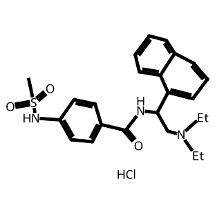 CCN(CC)CC(NC(=O)c1ccc(NS(C)(=O)=O)cc1)c1cccc2ccccc12.Cl